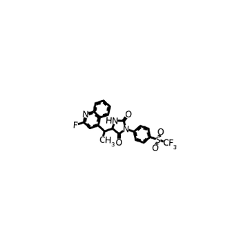 CC(c1cc(F)nc2ccccc12)C1NC(=O)N(c2ccc(S(=O)(=O)C(F)(F)F)cc2)C1=O